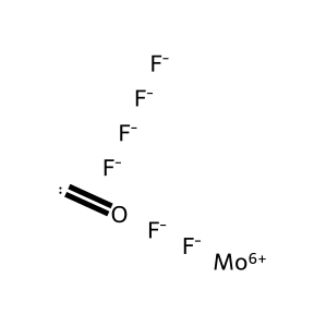 [C]=O.[F-].[F-].[F-].[F-].[F-].[F-].[Mo+6]